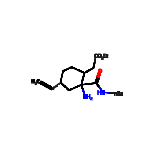 C=C[C@@H]1CCC(CC(=O)OCC)C(N)(C(=O)NCCCC)C1